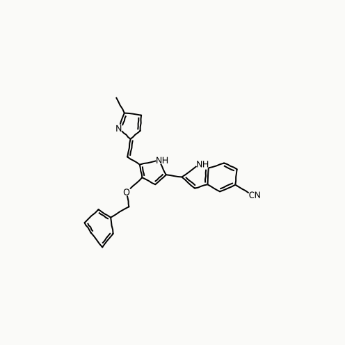 CC1=NC(=Cc2[nH]c(-c3cc4cc(C#N)ccc4[nH]3)cc2OCc2ccccc2)C=C1